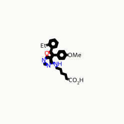 CCc1ccccc1-c1oc2ncnc(NCCCCCC(=O)O)c2c1-c1ccc(OC)cc1